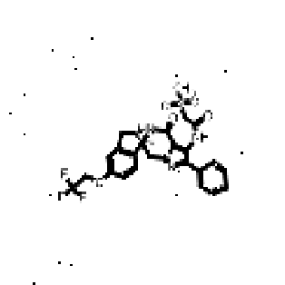 CS(=O)(=O)CC(=O)Nc1c(-c2ccccc2)nn2c1C(=O)N[C@]1(CCc3cc(OCC(F)(F)F)ccc31)C2